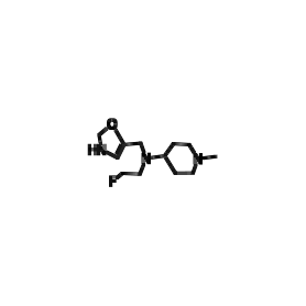 CN1CCC(N(CCF)CC2=CNCO2)CC1